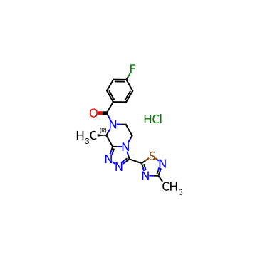 Cc1nsc(-c2nnc3n2CCN(C(=O)c2ccc(F)cc2)[C@@H]3C)n1.Cl